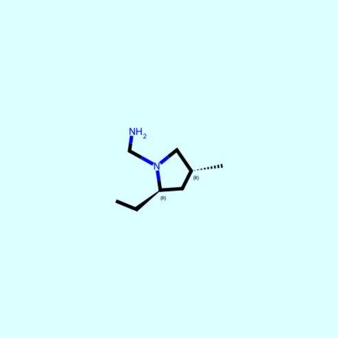 CC[C@@H]1C[C@@H](C)CN1CN